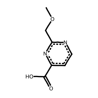 COCc1nccc(C(=O)O)n1